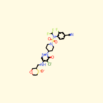 N#Cc1ccc(N(C(F)F)S(=O)(=O)N2CCC(n3ncc(NCC4COCC[S+]4[O-])c(Cl)c3=O)CC2)c(F)c1